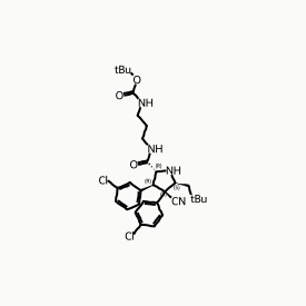 CC(C)(C)C[C@@H]1N[C@@H](C(=O)NCCCNC(=O)OC(C)(C)C)[C@H](c2cccc(Cl)c2)[C@@]1(C#N)c1ccc(Cl)cc1